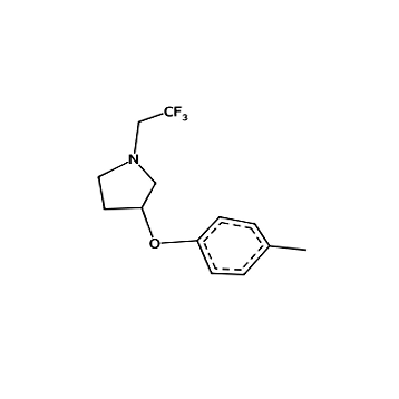 Cc1ccc(OC2CCN(CC(F)(F)F)C2)cc1